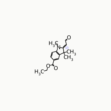 CCOC(=O)c1ccc2c(c1)C(C)(C)/C(=C/C=O)N2C